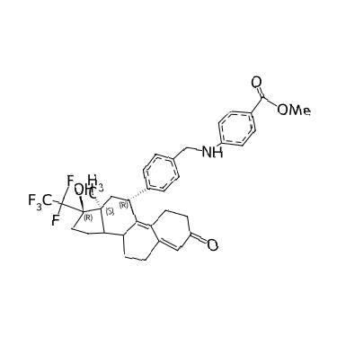 COC(=O)c1ccc(NCc2ccc([C@H]3C[C@@]4(C)C(CC[C@]4(O)C(F)(F)C(F)(F)F)C4CCC5=CC(=O)CCC5=C43)cc2)cc1